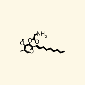 CCCCCCCC=C[C@H]1OC[C@@H](C)[C@@H](OC)[C@H]1OC(=O)CN